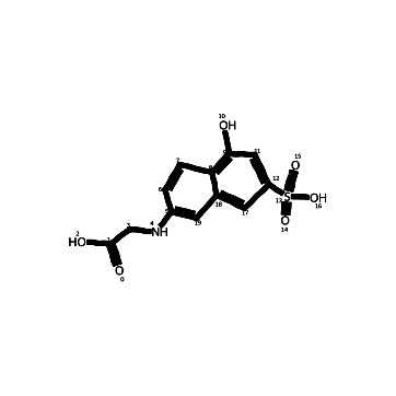 O=C(O)CNc1ccc2c(O)cc(S(=O)(=O)O)cc2c1